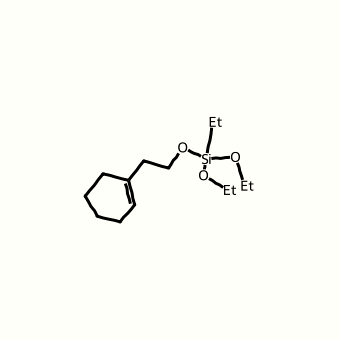 CCO[Si](CC)(OCC)OCCC1=CCCCC1